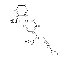 CC#CCC(C(=O)O)c1ccc(-c2ccccc2C(C)(C)C)cc1